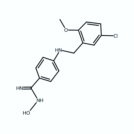 COc1ccc(Cl)cc1CNc1ccc(C(=N)NO)cc1